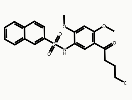 COc1cc(OC)c(C(=O)CCCCl)cc1NS(=O)(=O)c1ccc2ccccc2c1